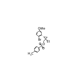 CC[C@]1(COS(=O)(=O)c2ccc(C)cc2)C[C@H]1c1cc(OC)ccc1Br